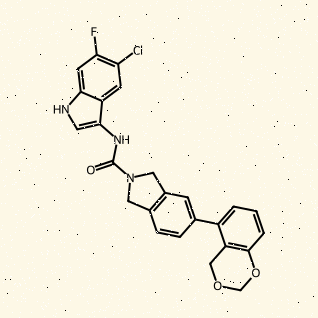 O=C(Nc1c[nH]c2cc(F)c(Cl)cc12)N1Cc2ccc(-c3cccc4c3COCO4)cc2C1